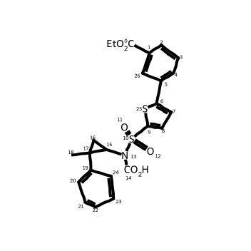 CCOC(=O)c1cccc(-c2ccc(S(=O)(=O)N(C(=O)O)C3CC3(C)c3ccccc3)s2)c1